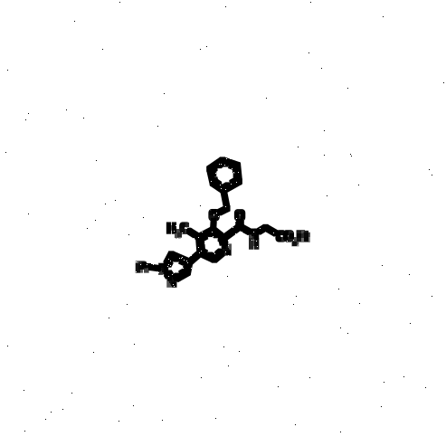 CCOC(=O)CNC(=O)c1ncc(-c2cnn(C(C)C)c2)c(C)c1OCc1ccccc1